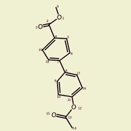 COC(=O)c1ccc(-c2ccc(OC(C)=O)cc2)cc1